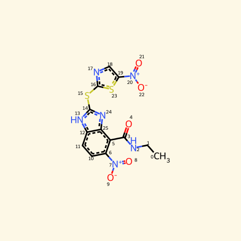 CCNC(=O)c1c([N+](=O)[O-])ccc2[nH]c(Sc3ncc([N+](=O)[O-])s3)nc12